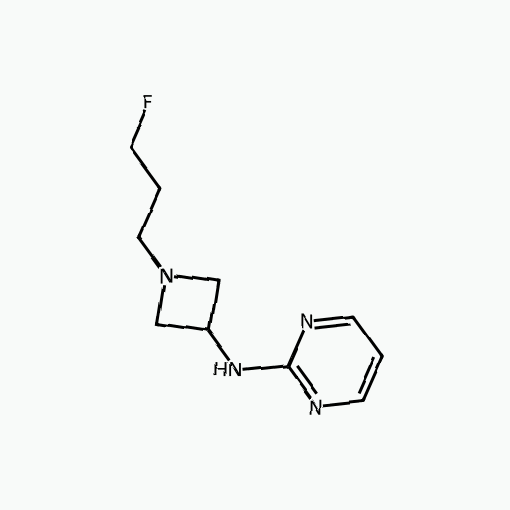 FCCCN1CC(Nc2ncccn2)C1